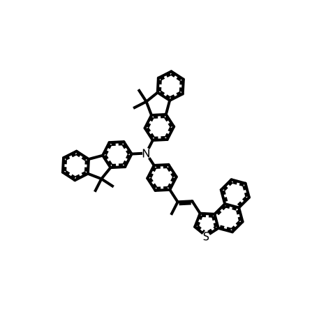 C/C(=C\c1csc2ccc3ccccc3c12)c1ccc(N(c2ccc3c(c2)C(C)(C)c2ccccc2-3)c2ccc3c(c2)C(C)(C)c2ccccc2-3)cc1